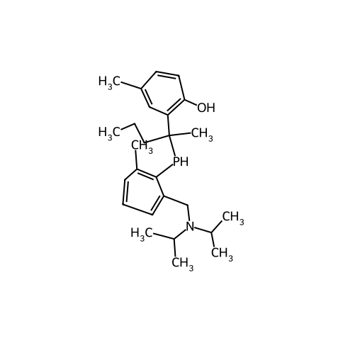 CCCC(C)(Pc1c(C)cccc1CN(C(C)C)C(C)C)c1cc(C)ccc1O